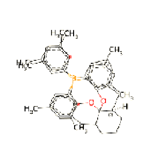 Cc1cc(C)cc(P(c2cc(C)cc(C)c2)c2cccc3c2OC24Oc5c(cccc5P(c5cc(C)cc(C)c5)c5cc(C)cc(C)c5)C[C@H]2CCCC4C3)c1